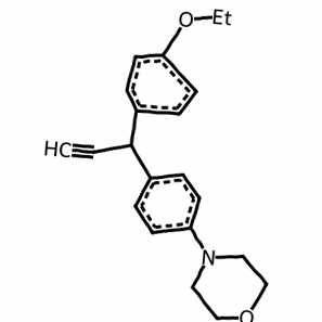 C#CC(c1ccc(OCC)cc1)c1ccc(N2CCOCC2)cc1